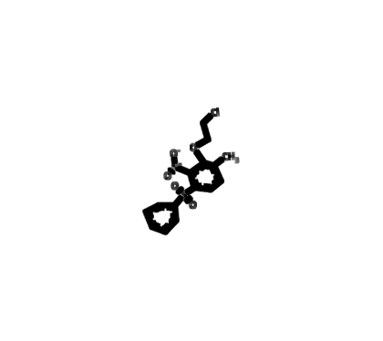 Cc1ccc(S(=O)(=O)c2ccccc2)c([N+](=O)[O-])c1OCCCl